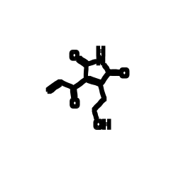 C=CC(=O)C1=C(CCO)C(=O)NC1=O